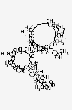 C=CC[C@@H]1/C=C(\C)C[C@H](C)C[C@H](OC)[C@H]2O[C@@](O)(C(=O)C(=O)N3CCCC[C@H]3C(=O)O[C@H](/C(C)=C/[C@@H]3CC[C@@H](O)[C@H](OC)C3)[C@H](C)[C@@H](O)CC1=O)[C@H](C)C[C@@H]2OC.CO[C@H]1C[C@@H]2CC[C@@H](C)[C@@](O)(O2)C(=O)C(=O)N2CCCC[C@H]2C(=O)O[C@H]([C@H](C)C[C@@H]2CC[C@@H](O)[C@H](OC)C2)CC(=O)[C@H](C)/C=C(\C)[C@@H](O)[C@@H](OC)C(=O)[C@H](C)C[C@H](C)/C=C/C=C/C=C/1C.Cn1cnc([N+](=O)[O-])c1Sc1ncnc2nc[nH]c12